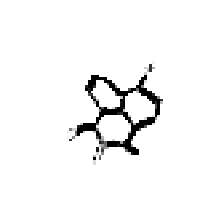 O=C1NC(=O)c2ccc(S)c3cccc1c23